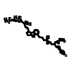 CC#CCC(C)C(O)/C=C/C1CCC2Oc3c(CCCC(=O)OCCC(CO[N+](=O)[O-])CO[N+](=O)[O-])cccc3C12